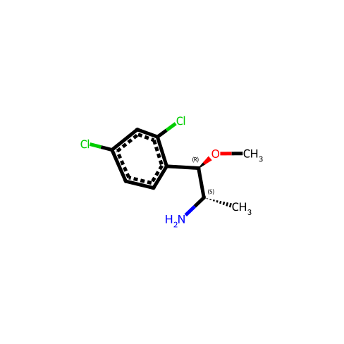 CO[C@H](c1ccc(Cl)cc1Cl)[C@H](C)N